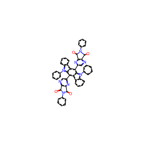 O=C1c2ncc(-c3c4c5ccccc5n(-c5ccccc5)c4c(-c4cnc5c(n4)C(=O)N(c4ccccc4)C5=O)c4c5ccccc5n(-c5ccccc5)c34)nc2C(=O)N1c1ccccc1